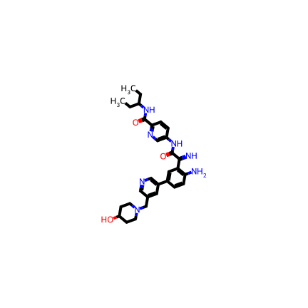 CCC(CC)NC(=O)c1ccc(NC(=O)C(=N)c2cc(-c3cncc(CN4CCC(O)CC4)c3)ccc2N)cn1